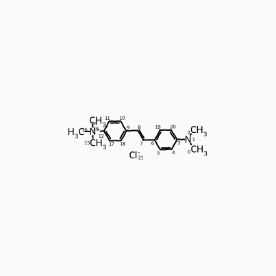 CN(C)c1ccc(C=Cc2ccc([N+](C)(C)C)cc2)cc1.[Cl-]